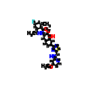 CCc1cc(F)cc(C)c1C(=O)NC(Cc1ccc(-c2nsc(CNc3cc(OC)ccn3)n2)cc1)C(=O)O